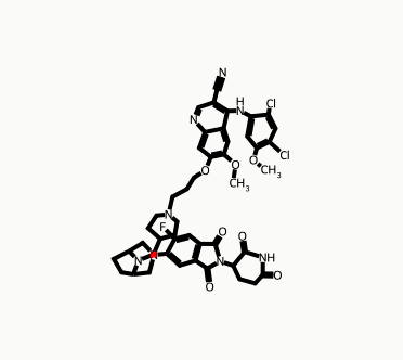 COc1cc(Nc2c(C#N)cnc3cc(OCCCN4CCC(CN5C6CCC5CN(c5cc7c(cc5F)C(=O)N(C5CCC(=O)NC5=O)C7=O)C6)CC4)c(OC)cc23)c(Cl)cc1Cl